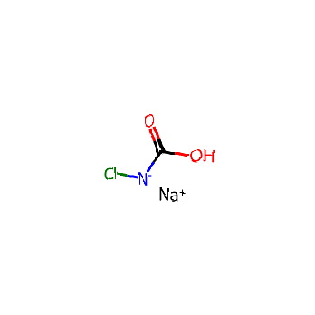 O=C(O)[N-]Cl.[Na+]